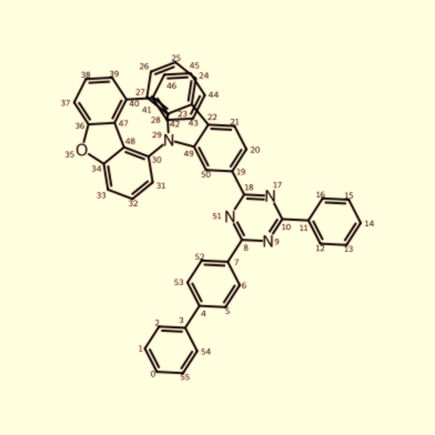 c1ccc(-c2ccc(-c3nc(-c4ccccc4)nc(-c4ccc5c6ccccc6n(-c6cccc7oc8cccc(-c9ccccc9)c8c67)c5c4)n3)cc2)cc1